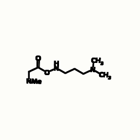 CNCC(=O)ONCCCN(C)C